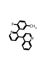 Cc1ccc(F)c(-c2ncccc2-c2ccnc3ccccc23)c1